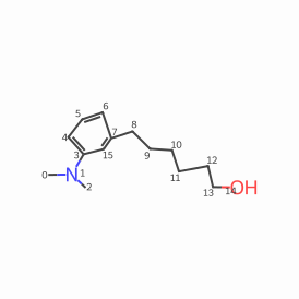 CN(C)c1cccc(CCCCCCO)c1